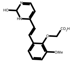 COc1cccc(C=CC2=CC=NC(O)N2)c1OCC(=O)O